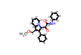 COCc1c(-c2ccccc2)c(C(=O)C(=O)Nc2ccccc2)n2ccccc12